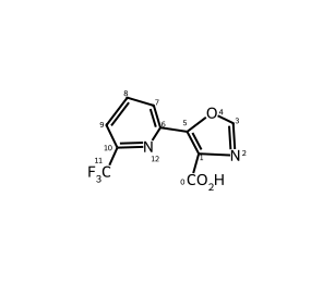 O=C(O)c1ncoc1-c1cccc(C(F)(F)F)n1